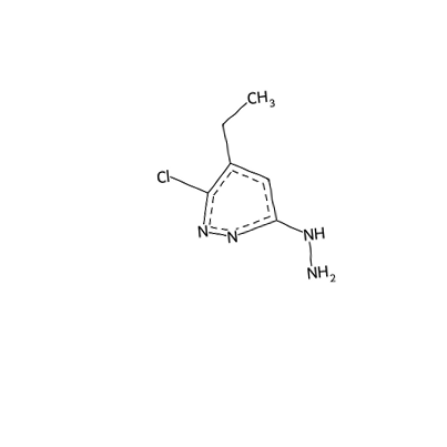 CCc1cc(NN)nnc1Cl